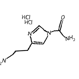 Cl.Cl.NCCc1cn(C(N)=O)cn1